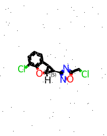 ClCc1nc([C@@H]2C3c4cccc(Cl)c4O[C@H]32)no1